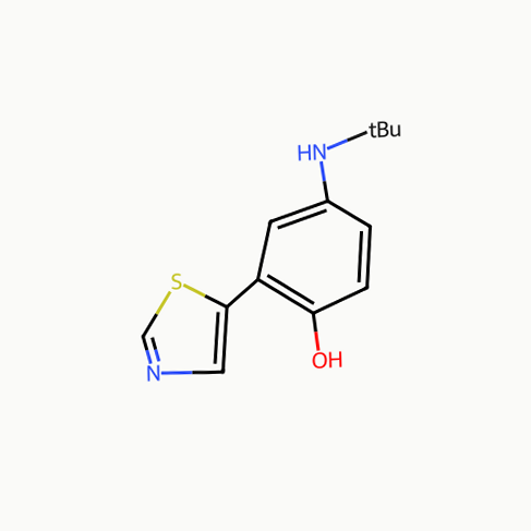 CC(C)(C)Nc1ccc(O)c(-c2cncs2)c1